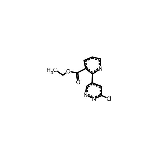 CCOC(=O)c1cccnc1-c1cnnc(Cl)c1